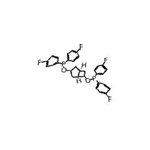 Fc1ccc(P(O[C@H]2C[C@H]3C[C@@H](OP(c4ccc(F)cc4)c4ccc(F)cc4)[C@H]3C2)c2ccc(F)cc2)cc1